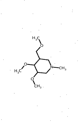 COCC1CN(C)CC(OC)C1OC